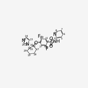 O=S(=O)(Nc1ccccn1)c1cc(F)c(O[C@H]2CCCC[C@@H]2n2ccnc2)cc1F